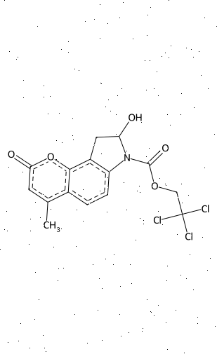 Cc1cc(=O)oc2c3c(ccc12)N(C(=O)OCC(Cl)(Cl)Cl)C(O)C3